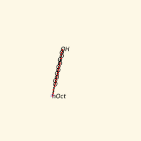 CCCCCCCC/C=C\CCCCCCCCOCCOCCOCCOCCOCCOCCOCCOCCOCCOCCO